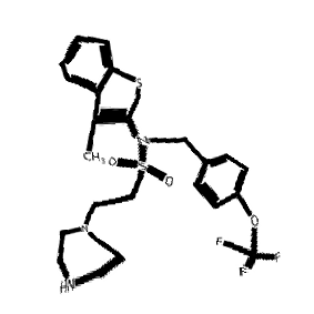 Cc1c(N(Cc2ccc(OC(F)(F)F)cc2)S(=O)(=O)CCN2CCNCC2)sc2ccccc12